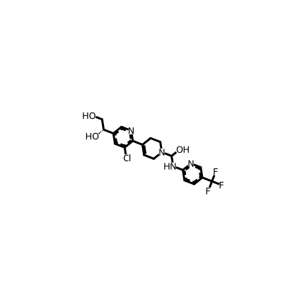 OC[C@@H](O)c1cnc(C2=CCN(C(O)Nc3ccc(C(F)(F)F)cn3)CC2)c(Cl)c1